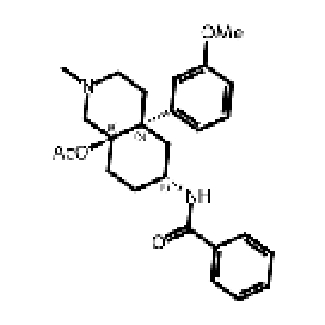 COc1cccc([C@@]23CCN(C)C[C@@]2(OC(C)=O)CC[C@@H](NC(=O)c2ccccc2)C3)c1